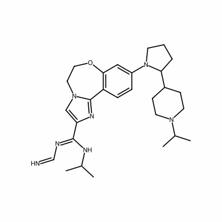 CC(C)N/C(=N\C=N)c1cn2c(n1)-c1ccc(N3CCCC3C3CCN(C(C)C)CC3)cc1OCC2